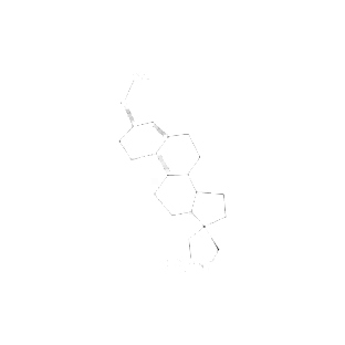 CC(=O)ON=C1C=C2CCC3C(=C2CC1)CC[C@@]1(C)C3CC[C@]1(CC#N)CC(=O)O